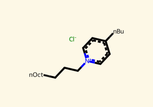 CCCCCCCCCCC[n+]1ccc(CCCC)cc1.[Cl-]